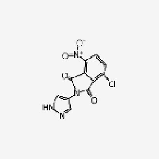 O=C1c2c(Cl)ccc([N+](=O)[O-])c2C(=O)N1c1cn[nH]c1